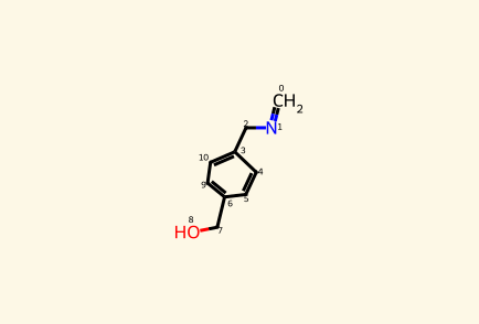 C=NCc1ccc(CO)cc1